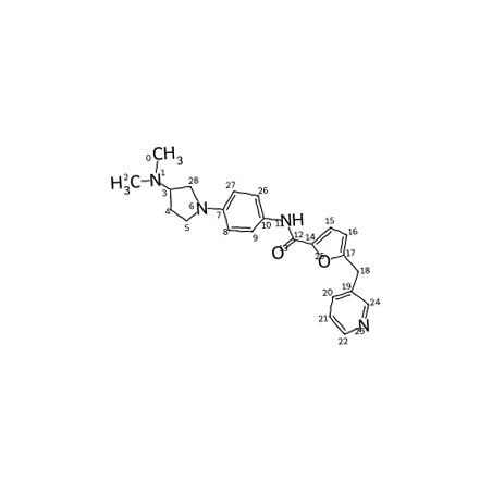 CN(C)C1CCN(c2ccc(NC(=O)c3ccc(Cc4cccnc4)o3)cc2)C1